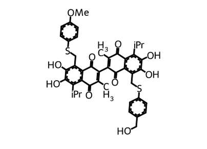 COc1ccc(SCc2c(O)c(O)c(C(C)C)c3c2C(=O)C(C2=C(C)C(=O)c4c(c(CSc5ccc(CO)cc5)c(O)c(O)c4C(C)C)C2=O)=C(C)C3=O)cc1